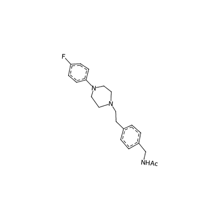 CC(=O)NCc1ccc(CCN2CCN(c3ccc(F)cc3)CC2)cc1